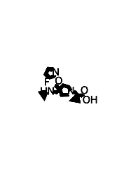 O=C(O)C1(CN2CCC(CNC3CC3)(COc3ncccc3F)CC2)CC1